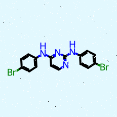 Brc1ccc(Nc2ccnc(Nc3ccc(Br)cc3)n2)cc1